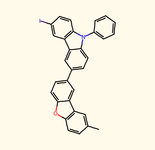 Cc1ccc2oc3ccc(-c4ccc5c(c4)c4cc(I)ccc4n5-c4ccccc4)cc3c2c1